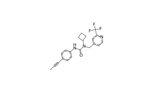 CC#Cc1ccc(NC(=O)N(Cc2ccnc(C(F)(F)F)c2)C2CCC2)cc1